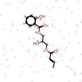 CC=CC(=O)OCC(O)COC(=O)c1ccccc1O